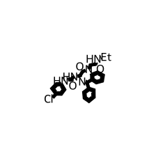 CCNC(=O)CN1C(=O)C(NC(=O)Nc2ccc(Cl)cc2)N=C(c2ccccc2)c2ccccc21